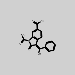 CC(=O)N1C(=O)/C(=C(\O)c2ccccc2)c2ccc(C(=O)O)cc21